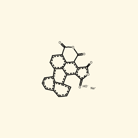 O=C1OC(=O)c2c3c1ccc1c4cccc5cccc(c54)c(c4c(=O)oc(=O)c24)c31.[Na+].[OH-]